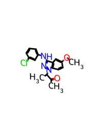 COc1ccc2c(c1)c(Nc1cccc(Cl)c1)nn2C(C)C(C)=O